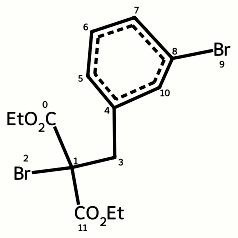 CCOC(=O)C(Br)(Cc1cccc(Br)c1)C(=O)OCC